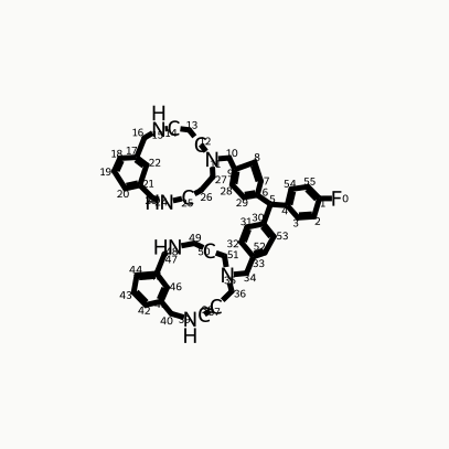 Fc1ccc(C(c2ccc(CN3CCCNCc4cccc(c4)CNCCC3)cc2)c2ccc(CN3CCCNCc4cccc(c4)CNCCC3)cc2)cc1